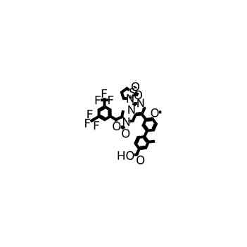 COc1ccc(-c2ccc(C(=O)O)cc2C)cc1-c1cnc(N2CCCS2(=O)=O)nc1CN1C(=O)OC(c2cc(C(F)(F)F)cc(C(F)(F)F)c2)C1C